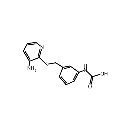 Nc1cccnc1SCc1cccc(NC(=O)O)c1